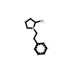 FC(F)(F)C1CCCN1CCc1ccccc1